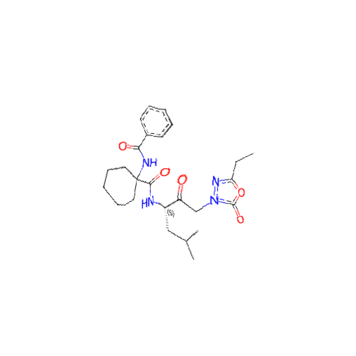 CCc1nn(CC(=O)[C@H](CC(C)C)NC(=O)C2(NC(=O)c3ccccc3)CCCCC2)c(=O)o1